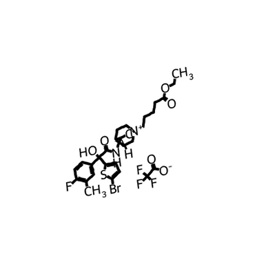 CCOC(=O)CCCC[N+]12CCC(CC1)[C@@H](NC(=O)C(O)(c1ccc(F)c(C)c1)c1ccc(Br)s1)C2.O=C([O-])C(F)(F)F